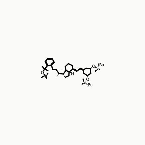 C[C@H](CCc1ccccc1C(C)(C)O[Si](C)(C)C)[C@H]1CC[C@H]2/C(=C/C=C3C[C@@H](O[Si](C)(C)C(C)(C)C)C[C@H](O[Si](C)(C)C(C)(C)C)C3)CCC[C@]12C